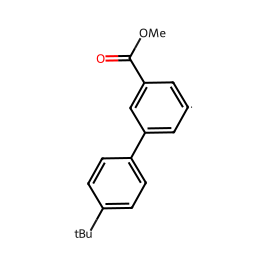 COC(=O)c1c[c]cc(-c2ccc(C(C)(C)C)cc2)c1